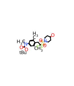 Cc1cc(N(C)C(=O)OC(C)(C)C)cc(C)c1CC(F)(F)S(=O)(=O)N1CCC(=O)CC1